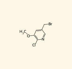 COc1cc(CBr)cnc1Cl